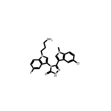 Cn1cc(-c2n[nH]c(=O)n2-c2cn(CCCN)c3ccc(F)cc23)c2cc(Cl)ccc21